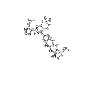 O=C(N[C@H](c1cn2ncc(C[C@@H]3C(=O)NCC[C@H]3C(F)(F)F)cc2n1)C1CCC(F)(F)CC1)c1nonc1C1CC1